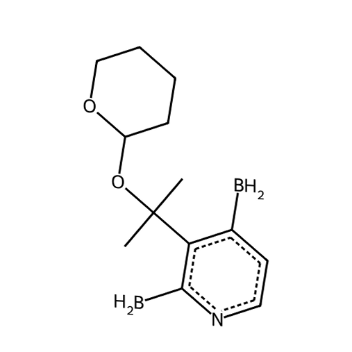 Bc1ccnc(B)c1C(C)(C)OC1CCCCO1